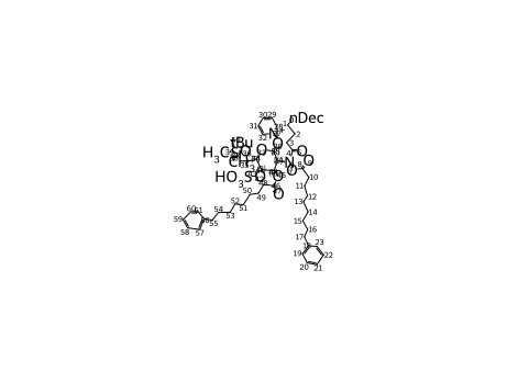 CCCCCCCCCCCCCC(=O)N(OC(=O)CCCCCCCCc1ccccc1)[C@@H]1[C@@H](O[n+]2ccccc2)O[C@H](CO[Si](C)(C)C(C)(C)C)[C@@H](OS(=O)(=O)O)[C@@H]1OC(=O)CCCCCCCCc1ccccc1